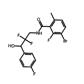 Cc1ccc(Br)c(F)c1C(=O)NCC(F)(F)C(O)c1ccc(F)cc1